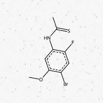 COc1cc(NC(C)=S)c(F)cc1Br